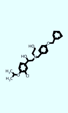 CC(C)Oc1ccc(C(O)CN(CCO)Cc2ccc(OCc3ccccc3)cc2)cc1Cl